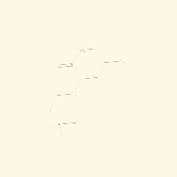 Cn1cc([N+](=O)[O-])cc(N2CCC(F)(F)CC2)c1=O